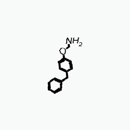 NCOc1ccc(Cc2ccccc2)cc1